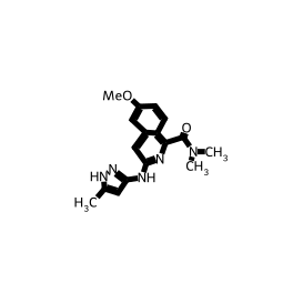 COc1ccc2c(C(=O)N(C)C)nc(Nc3cc(C)[nH]n3)cc2c1